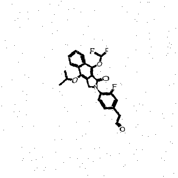 CC(C)Oc1c2c(c(OC(F)F)c3ccccc13)C(=O)N(c1ccc(CC=O)cc1F)C2